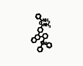 NC(OC(N)C1CCC(C2CC3C=CCCC3CC2C2CCCCC2C2=CC(C3=CCCC=C3)=[N+]2C2C=CC=CC2)CC1)c1ccccc1